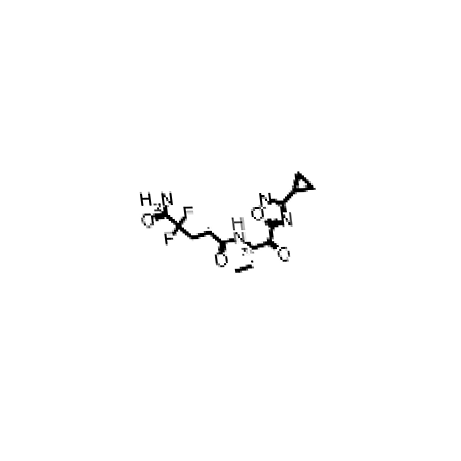 CC[C@H](NC(=O)[CH]CC(F)(F)C(N)=O)C(=O)c1nc(C2CC2)no1